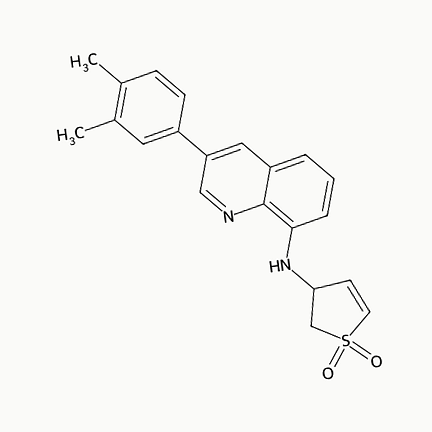 Cc1ccc(-c2cnc3c(NC4C=CS(=O)(=O)C4)cccc3c2)cc1C